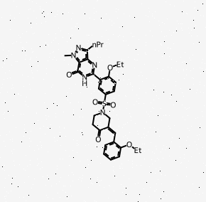 CCCc1nn(C)c2c(=O)[nH]c(-c3cc(S(=O)(=O)N4CCC(=O)/C(=C\c5ccccc5OCC)C4)ccc3OCC)nc12